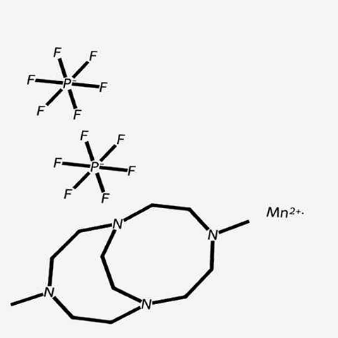 CN1CCN2CCN(C)CCN(CC1)CC2.F[P-](F)(F)(F)(F)F.F[P-](F)(F)(F)(F)F.[Mn+2]